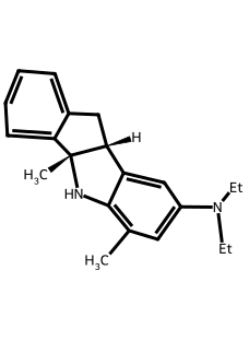 CCN(CC)c1cc(C)c2c(c1)[C@H]1Cc3ccccc3[C@@]1(C)N2